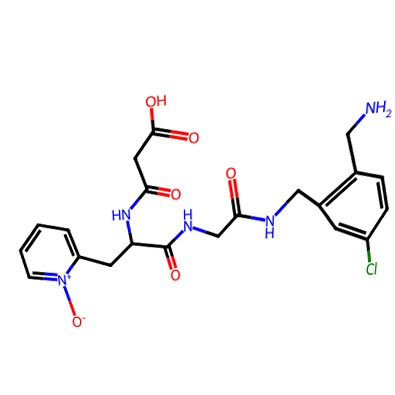 NCc1ccc(Cl)cc1CNC(=O)CNC(=O)C(Cc1cccc[n+]1[O-])NC(=O)CC(=O)O